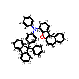 c1ccc(N(c2ccc(C3(c4ccccc4)c4ccccc4-c4ccccc43)cc2)c2cccc3c2oc2ccc4ccccc4c23)cc1